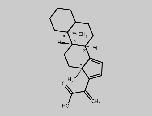 C=C(C(=O)O)C1=CC=C2[C@@H]3CCC4CCCC[C@]4(C)[C@H]3CC[C@]12C